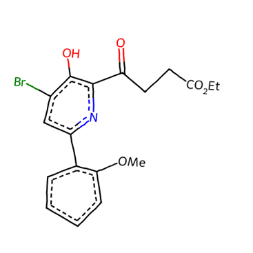 CCOC(=O)CCC(=O)c1nc(-c2ccccc2OC)cc(Br)c1O